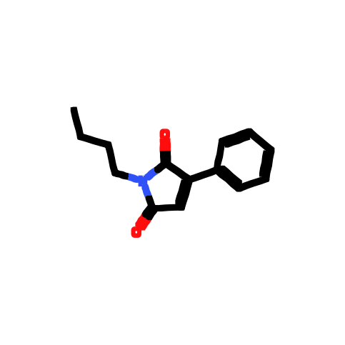 CCCCN1C(=O)C=C(c2ccccc2)C1=O